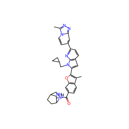 Cc1c(-c2cc3ccc(-c4ccn5c(C)nnc5c4)nc3n2CC2CC2)oc2cc(C(=O)N3CC4CCC3[C@@H]4N)ccc12